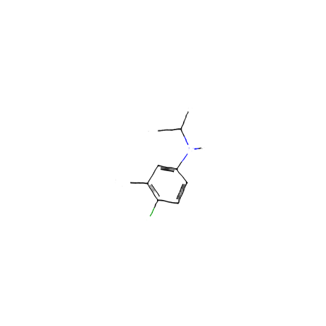 CCCC(CCC)N(CC)c1ccc(F)c(C)c1